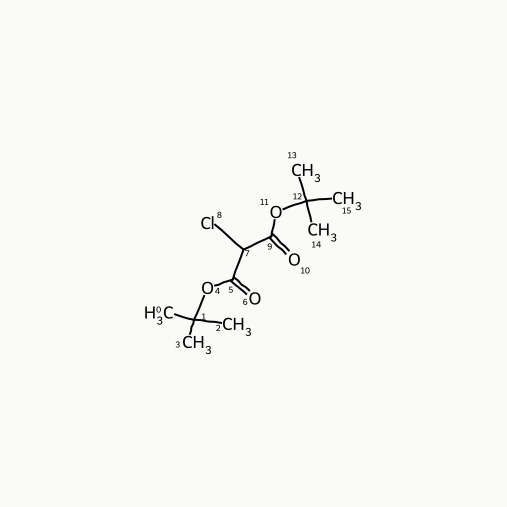 CC(C)(C)OC(=O)C(Cl)C(=O)OC(C)(C)C